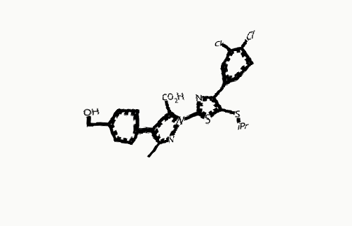 Cc1nn(-c2nc(-c3ccc(Cl)c(Cl)c3)c(SC(C)C)s2)c(C(=O)O)c1-c1ccc(CO)cc1